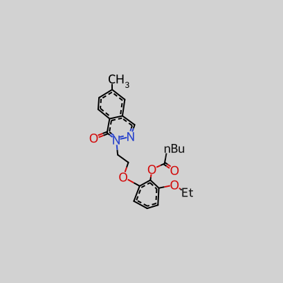 CCCCC(=O)Oc1c(OCC)cccc1OCCn1ncc2cc(C)ccc2c1=O